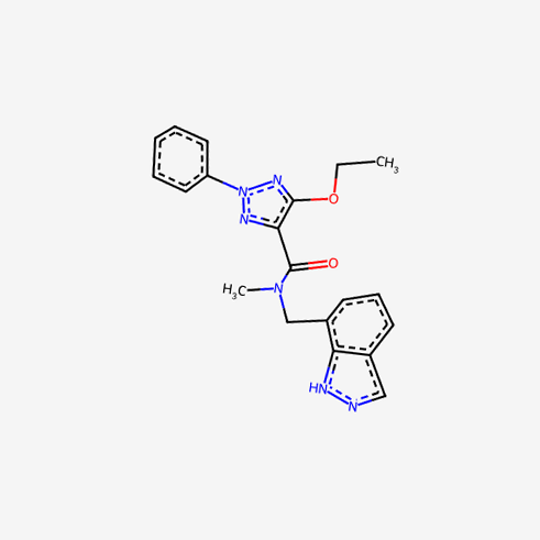 CCOc1nn(-c2ccccc2)nc1C(=O)N(C)Cc1cccc2cn[nH]c12